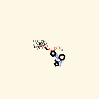 COc1cc(N2CC3(CCC3)N[C@H]3CCCC[C@@H]32)ccc1OCCO[Si](C)(C)C(C)(C)C